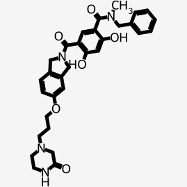 CN(Cc1ccccc1)C(=O)c1cc(C(=O)N2Cc3ccc(OCCCN4CCNC(=O)C4)cc3C2)c(O)cc1O